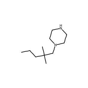 CCCC(C)(C)CN1CCNCC1